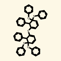 C1=CC(Oc2ccccc2)(Sc2ccccc2)C(c2ccccc2)C(SC2=CC=CC(Oc3ccccc3)(Sc3ccccc3)C2c2ccccc2)=C1